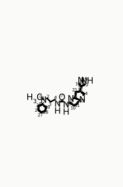 CN(CCCNC(=O)Nc1ccc2ncc(-c3cn[nH]c3)cc2n1)c1ccccc1